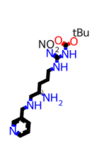 CC(C)(C)OC(=O)NC(=N[N+](=O)[O-])NCCC[C@H](N)CNCc1cccnc1